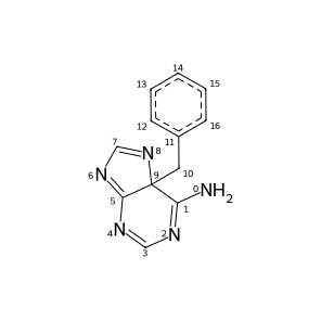 NC1=NC=NC2=NC=NC12Cc1ccccc1